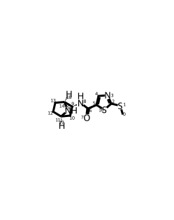 CSc1ncc(C(=O)N[C@@H]2C[C@H]3CC[C@@H]2N3)s1